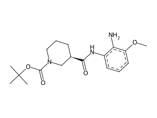 COc1cccc(NC(=O)[C@@H]2CCCN(C(=O)OC(C)(C)C)C2)c1N